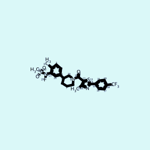 Cc1ccc(C2CCCN(C(=O)c3sc(-c4ccc(C(F)(F)F)cc4)nc3C)C2)cc1N(F)S(C)(=O)=O